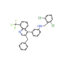 FC(F)(F)c1cccc2c(-c3cccc(NCc4c(Cl)cccc4Cl)c3)c(Cc3ccccc3)cnc12